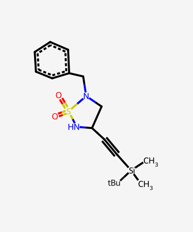 CC(C)(C)[Si](C)(C)C#CC1CN(Cc2ccccc2)S(=O)(=O)N1